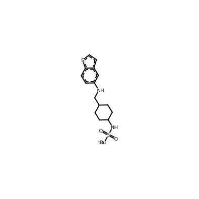 CC(C)(C)S(=O)(=O)NC1CCC(CNc2ccc3sccc3c2)CC1